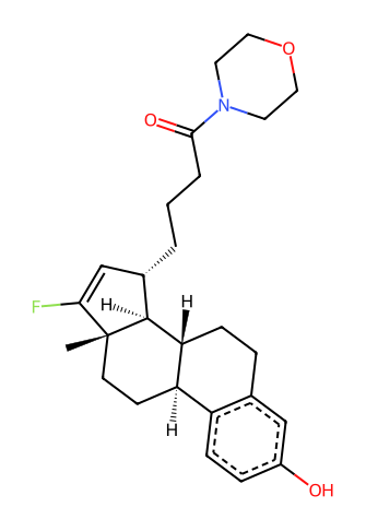 C[C@]12CC[C@@H]3c4ccc(O)cc4CC[C@H]3[C@@H]1[C@@H](CCCC(=O)N1CCOCC1)C=C2F